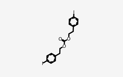 O=C(OCCc1ccc(I)cc1)OCCc1ccc(I)cc1